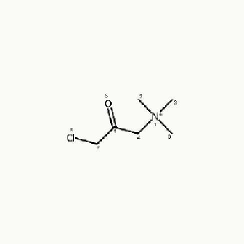 C[N+](C)(C)CC(=O)CCl